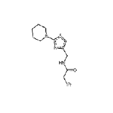 CC(C)CC(=O)NCc1csc(N2CCCCC2)n1